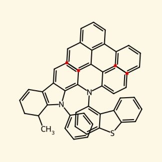 CC1CC=Cc2c1n(-c1ccccc1)c1c(N(c3ccccc3-c3cccc4cccc(-c5ccccc5)c34)c3cccc4sc5ccccc5c34)cccc21